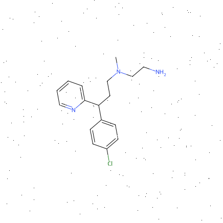 CN(CCN)CCC(c1ccc(Cl)cc1)c1ccccn1